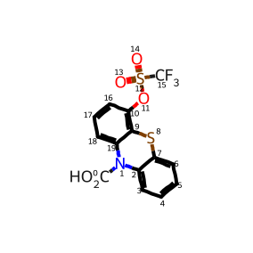 O=C(O)N1c2ccccc2Sc2c(OS(=O)(=O)C(F)(F)F)cccc21